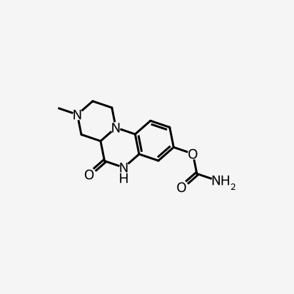 CN1CCN2c3ccc(OC(N)=O)cc3NC(=O)C2C1